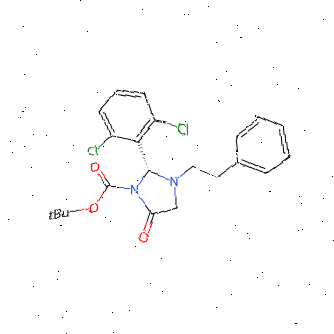 CC(C)(C)OC(=O)N1C(=O)CN(CCc2ccccc2)[C@H]1c1c(Cl)cccc1Cl